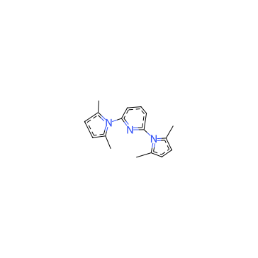 Cc1ccc(C)n1-c1cccc(-n2c(C)ccc2C)n1